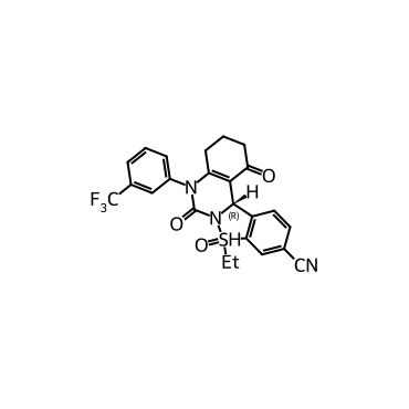 CC[SH]1(=O)c2cc(C#N)ccc2[C@H]2C3=C(CCCC3=O)N(c3cccc(C(F)(F)F)c3)C(=O)N21